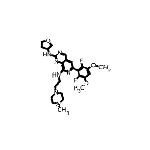 COc1cc(OC)c(F)c(-c2cc3cnc(NC4CCOC4)nc3c(NCCN3CCN(C)CC3)n2)c1F